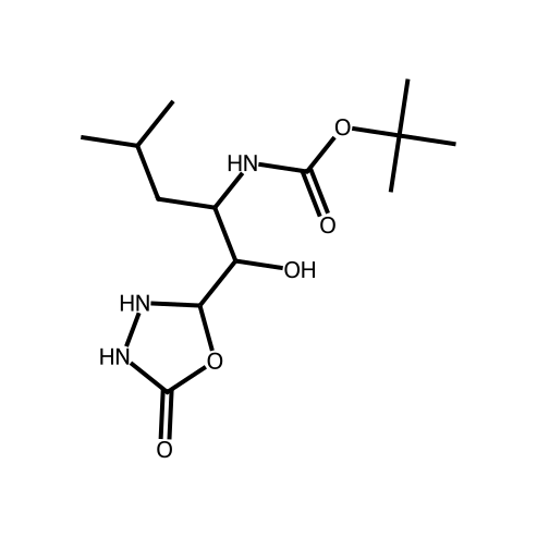 CC(C)CC(NC(=O)OC(C)(C)C)C(O)C1NNC(=O)O1